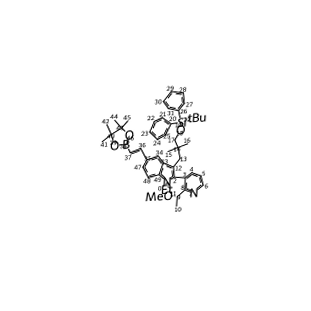 CCn1c(-c2cccnc2[C@H](C)OC)c(CC(C)(C)CO[Si](c2ccccc2)(c2ccccc2)C(C)(C)C)c2cc(/C=C/B3OC(C)(C)C(C)(C)O3)ccc21